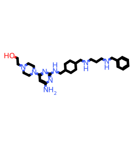 Nc1cc(N2CCN(CCO)CC2)nc(NCC2CCC(CNCCCNCc3ccccc3)CC2)n1